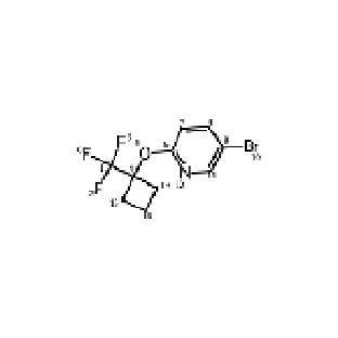 FC(F)(F)C1(Oc2ccc(Br)cn2)CCC1